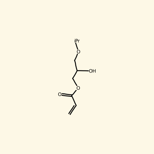 C=CC(=O)OCC(O)COC(C)C